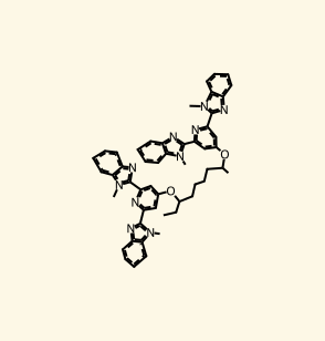 CCC(CCCCC(C)Oc1cc(-c2nc3ccccc3n2C)nc(-c2nc3ccccc3n2C)c1)Oc1cc(-c2nc3ccccc3n2C)nc(-c2nc3ccccc3n2C)c1